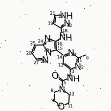 Cc1nc(NC(=O)N2CCOCC2)cc(-c2c(Nc3cc[nH]n3)nc3cccnn23)n1